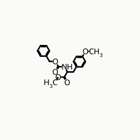 COC(=O)C(Cc1ccc(OC)cc1)NC(=O)OCc1ccccc1